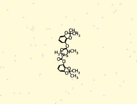 CN(SN(C)C(=O)Oc1cccc2c1OC(C)(C)O2)C(=O)Oc1cccc2c1OC(C)(C)O2